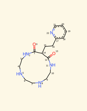 O=C1NCCNCCNCCNC(=O)C1CCc1ccccn1